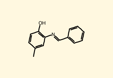 Cc1ccc(O)c(N=Cc2ccccc2)c1